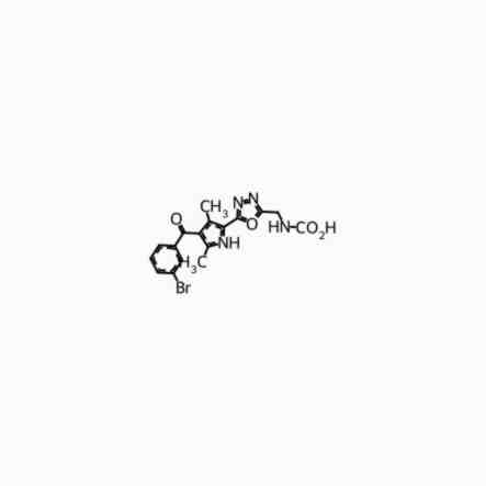 Cc1[nH]c(-c2nnc(CNC(=O)O)o2)c(C)c1C(=O)c1cccc(Br)c1